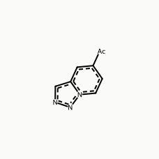 CC(=O)c1ccn2nncc2c1